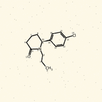 CCCN1C(=O)CCC[C@H]1c1ccc(Cl)cc1